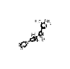 CC(C)n1nc(-c2cnc(N)c(C(F)(F)F)c2)cc1[C@H]1[C@@H]2CC(N3CCS(=O)(=O)CC3)C[C@@H]21